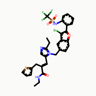 CCNC(=O)/C(=C/c1cnc(CC)n1Cc1ccc2oc(-c3ccccc3NS(=O)(=O)C(F)(F)F)c(Br)c2c1)Cc1cccs1